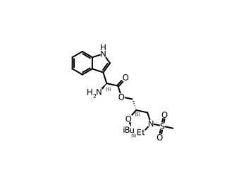 CC[C@H](C)O[C@H](COC(=O)[C@@H](N)c1c[nH]c2ccccc12)CN(CC)S(C)(=O)=O